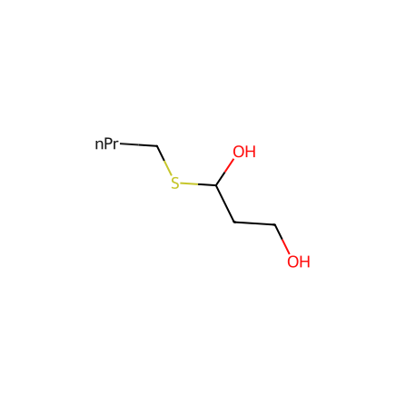 CCCCSC(O)CCO